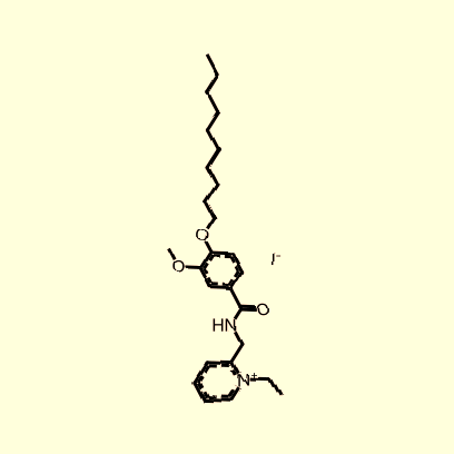 CCCCCCCCCCOc1ccc(C(=O)NCc2cccc[n+]2CC)cc1OC.[I-]